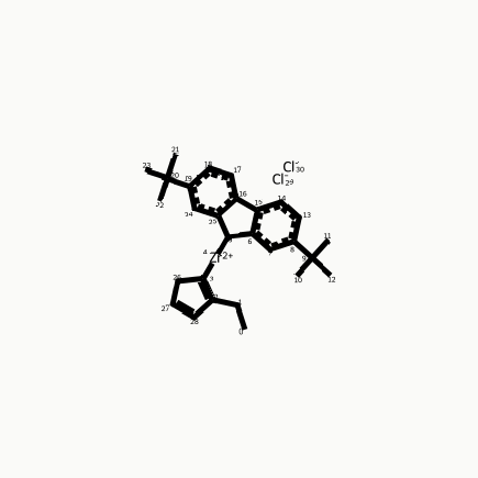 CCC1=[C]([Zr+2][CH]2c3cc(C(C)(C)C)ccc3-c3ccc(C(C)(C)C)cc32)CC=C1.[Cl-].[Cl-]